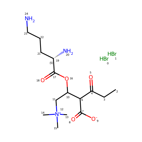 Br.Br.CCC(=O)C(C(=O)[O-])C(C[N+](C)(C)C)OC(=O)[C@@H](N)CCCN